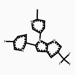 Cc1ccc(-n2c(-c3ccc(F)cn3)cc3cc(C(F)(F)F)cnc32)cn1